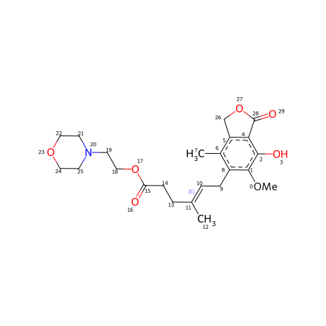 COc1c(O)c2c(c(C)c1C/C=C(\C)CCC(=O)OCCN1CCOCC1)COC2=O